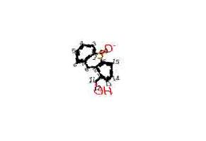 [O-][S+]1c2ccccc2Cc2c(CO)cccc21